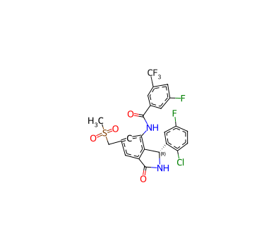 CS(=O)(=O)Cc1cc(NC(=O)c2cc(F)cc(C(F)(F)F)c2)c2c(c1)C(=O)N[C@H]2c1cc(F)ccc1Cl